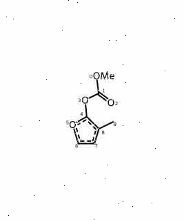 COC(=O)Oc1occc1C